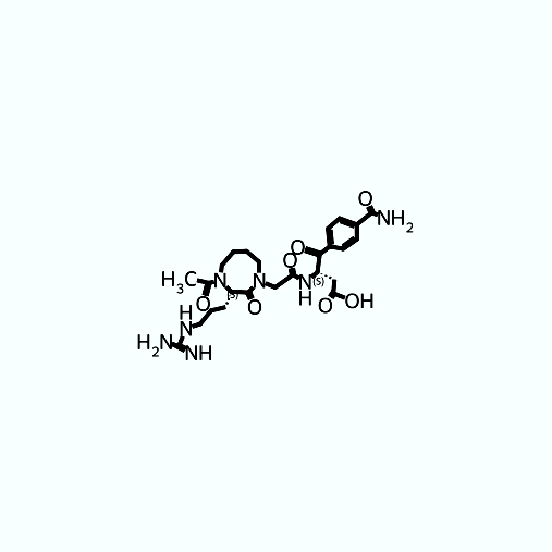 CC(=O)N1CCCCN(CC(=O)N[C@@H](CC(=O)O)C(=O)c2ccc(C(N)=O)cc2)C(=O)[C@@H]1CCCNC(=N)N